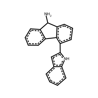 NC1c2ccccc2-c2c(-c3cc4ccccc4[nH]3)cccc21